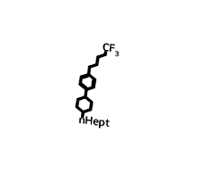 CCCCCCCC1CCC(c2ccc(CCCCC(F)(F)F)cc2)CC1